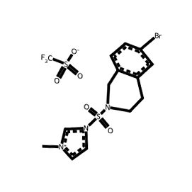 C[n+]1ccn(S(=O)(=O)N2CCc3cc(Br)ccc3C2)c1.O=S(=O)([O-])C(F)(F)F